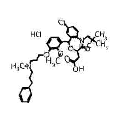 COc1c(OCCCN(C)CCCc2ccccc2)cccc1C1OC(CC(=O)O)C(=O)N(CC(C)(C)C)c2ccc(Cl)cc21.Cl